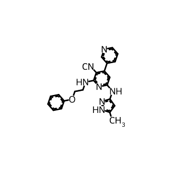 [C-]#[N+]c1c(-c2cccnc2)cc(Nc2cc(C)[nH]n2)nc1NCCOc1ccccc1